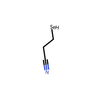 N#CCC[SeH]